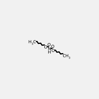 CCCCCCOC(=O)NC(=O)OCCCCCC